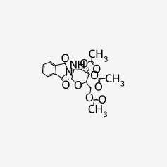 CC(=O)OC[C@H]1O[CH][C@@](N)(N2C(=O)c3ccccc3C2=O)[C@@H](OC(C)=O)[C@@H]1OC(C)=O